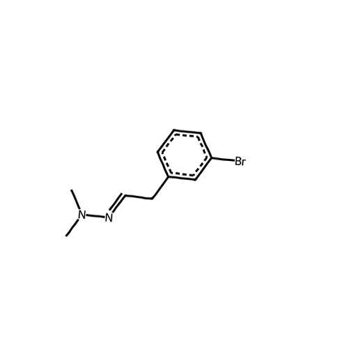 CN(C)/N=C/Cc1cccc(Br)c1